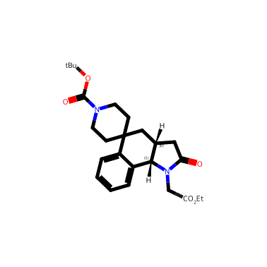 CCOC(=O)CN1C(=O)C[C@H]2CC3(CCN(C(=O)OC(C)(C)C)CC3)c3ccccc3[C@H]21